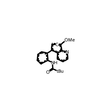 COc1ccc(-c2ccccc2NC(=O)C(C)(C)C)c2cccnc12